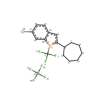 FC(F)(F)[s+]1c(C2CCCCCC2)cc2ccc(Cl)cc21.F[B-](F)(F)F